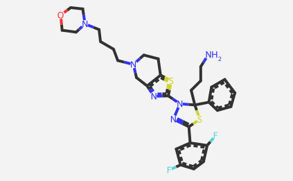 NCCCC1(c2ccccc2)SC(c2cc(F)ccc2F)=NN1c1nc2c(s1)CCN(CCCCN1CCOCC1)C2